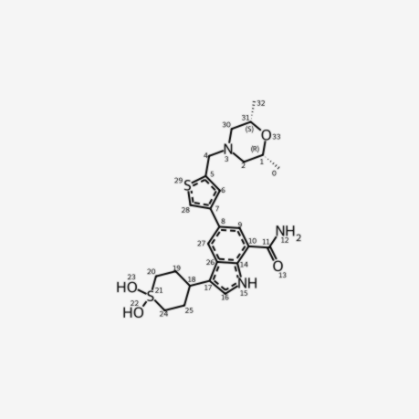 C[C@@H]1CN(Cc2cc(-c3cc(C(N)=O)c4[nH]cc(C5CCS(O)(O)CC5)c4c3)cs2)C[C@H](C)O1